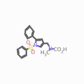 CN(Cc1cc(-c2ccccc2)n(S(=O)(=O)c2ccccc2)c1)C(=O)O